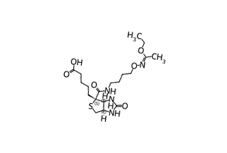 CCOC(C)=NOCCCCNC(=O)[C@@]1(CCCCC(=O)O)SC[C@@H]2NC(=O)N[C@@H]21